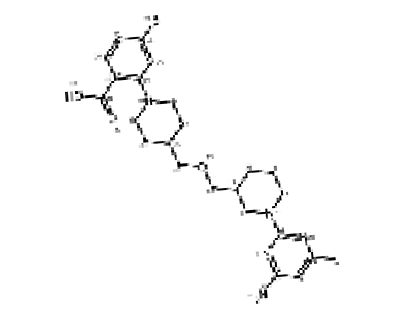 Cc1cc(N)nc(N2CCCC(COCC3CCN(c4cc(Br)ccc4C(=O)O)CC3)C2)n1